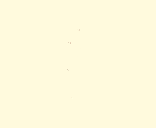 CCCCCCCCCCCCN(CCCN)CC(C)NCCCN